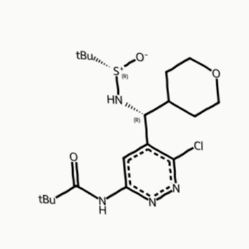 CC(C)(C)C(=O)Nc1cc([C@H](N[S@@+]([O-])C(C)(C)C)C2CCOCC2)c(Cl)nn1